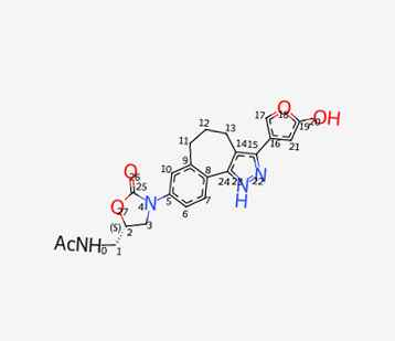 CC(=O)NC[C@H]1CN(c2ccc3c(c2)CCCc2c(-c4coc(O)c4)n[nH]c2-3)C(=O)O1